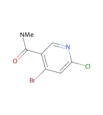 CNC(=O)c1cnc(Cl)cc1Br